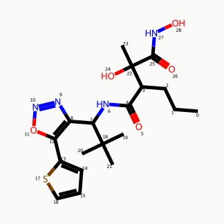 CCCC(C(=O)NC(c1nnoc1-c1cccs1)C(C)(C)C)C(C)(O)C(=O)NO